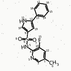 Cc1cnc(NS(=O)(=O)c2c[nH]c(-c3ccccc3)c2)c(F)c1